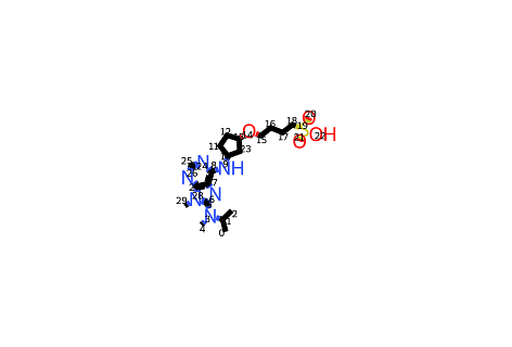 CC(C)N(C)c1nc2c(NC3CCC(OCCCCS(=O)(=O)O)C3)ncnc2n1C